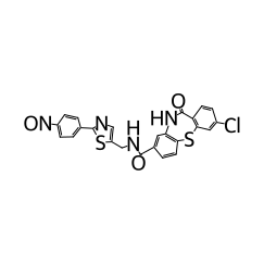 O=Nc1ccc(-c2ncc(CNC(=O)c3ccc4c(c3)NC(=O)c3ccc(Cl)cc3S4)s2)cc1